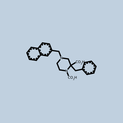 O=C(O)N1CCN(Cc2ccc3ccccc3c2)CC1(Cc1ccccc1)C(=O)O